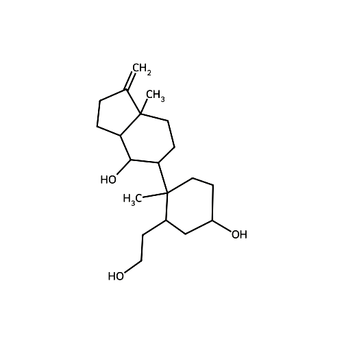 C=C1CCC2C(O)C(C3(C)CCC(O)CC3CCO)CCC12C